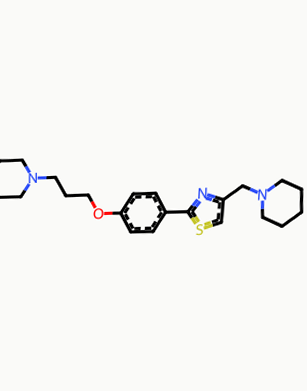 c1cc(-c2nc(CN3CCCCC3)cs2)ccc1OCCCN1CCCCC1